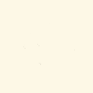 Cc1c(C)n(C2=CC=CCN2)c2c(C(N)=O)cc(F)cc12